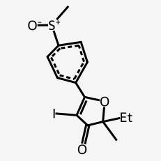 CCC1(C)OC(c2ccc([S+](C)[O-])cc2)=C(I)C1=O